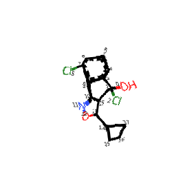 OC1(Cl)c2cccc(Cl)c2C2=NOC(C3CCC3)C21